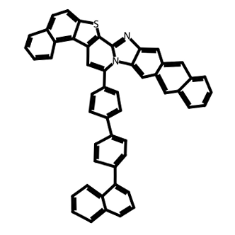 c1ccc2cc3cc4c(cc3cc2c1)nc1c2sc3ccc5ccccc5c3c2cc(-c2ccc(-c3ccc(-c5cccc6ccccc56)cc3)cc2)n41